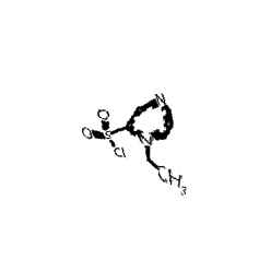 CCn1cncc1S(=O)(=O)Cl